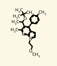 COCCn1ccc2c(-c3ccc(C)cc3)c(C(C)OC(C)(C)C)c(C)nc21